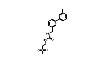 Cc1cccc(-c2cccc(CNC(=O)NCCS(C)(=O)=O)c2)c1